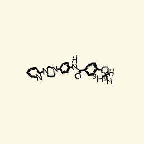 [3H]C([3H])([3H])Oc1ccc(C(=O)Nc2ccc(N3CCN(c4ccccn4)CC3)cc2)cc1